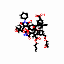 CCCCOC(=O)C(C1C(=O)NC(=O)C1CC1C(=O)N(C2CCCCC2)C(=O)C1C)C(C)(C(=O)OCCCC)C1C2CC(CC2COCC2CO2)C1C1C2CC(CC2C(=O)OCC2(CC)COC2)C1C1C(C)C2CC(C(=O)O)C1C2